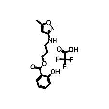 Cc1cc(NCCCOC(=O)c2ccccc2O)no1.O=C(O)C(F)(F)F